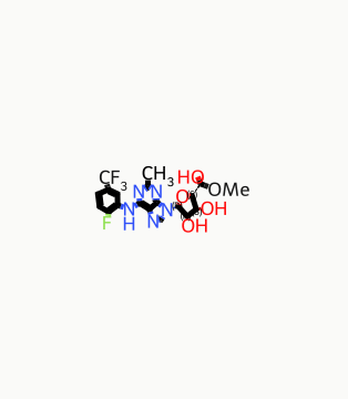 COC(O)[C@H]1O[C@@H](n2cnc3c(Nc4cc(C(F)(F)F)ccc4F)nc(C)nc32)[C@H](O)[C@@H]1O